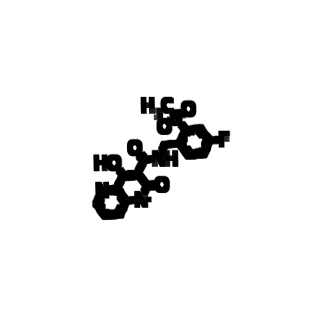 CS(=O)(=O)c1cc(F)ccc1CNC(=O)C1=C(O)c2ncccc2[N]C1=O